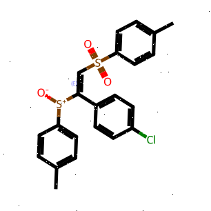 Cc1ccc([S+]([O-])/C(=C/S(=O)(=O)c2ccc(C)cc2)c2ccc(Cl)cc2)cc1